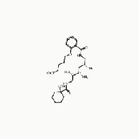 COCCCCOc1ccccc1C(=O)NC[C@@H](C[C@H](N)[C@@H](O)CNC(=O)C1(OC)CCCCC1)C(C)C